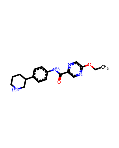 O=C(Nc1ccc(C2CCCNC2)cc1)c1cnc(OCC(F)(F)F)cn1